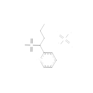 CCCC(c1ccccn1)S(=O)(=O)O.O=S(=O)(O)O